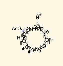 CC[C@@H]1NC(=O)[C@H]([C@H](O)[C@H](C)C/C=C/COC(C)=O)N(C)C(=O)[C@H](C(C)C)N(C)C(=O)[C@H](CC(C)C)N(C)C(=O)[C@H](CC(C)C)N(C)C(=O)[C@@H](C)NC(=O)[C@H](C)NC(=O)[C@H](CC(C)C)N(C)C(=O)[C@H](C(C)C)NC(=O)[C@H]([C@@H](C)OCCCCN2CCOCC2)N(C)C(=O)[C@@H](C)N(C)C1=O